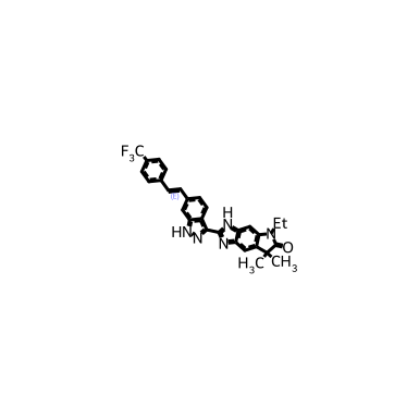 CCN1C(=O)C(C)(C)c2cc3nc(-c4n[nH]c5cc(/C=C/c6ccc(C(F)(F)F)cc6)ccc45)[nH]c3cc21